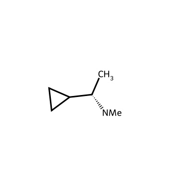 CN[C@@H](C)C1CC1